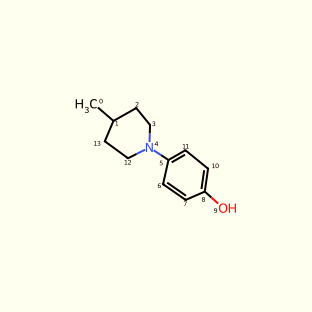 CC1CCN(c2ccc(O)cc2)CC1